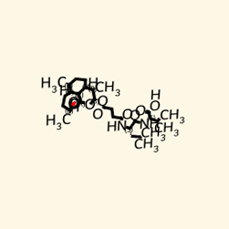 CC(C)C[C@H](NC(=O)CCC(=O)O[C@@H]1O[C@@H]2O[C@@]3(C)CC[C@H]4[C@H](C)CC[C@@H]([C@H]1C)[C@@]24OO3)C(=O)N[C@H](C(=O)O)C(C)C